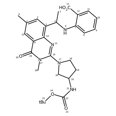 Cc1cc(C(C)Nc2ccccc2C(=O)O)c2nc(N3CCC(NC(=O)OC(C)(C)C)C3)n(C)c(=O)c2c1